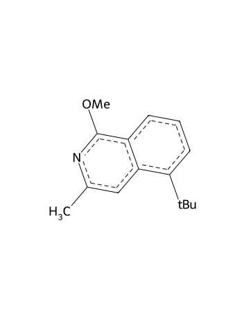 COc1nc(C)cc2c(C(C)(C)C)cccc12